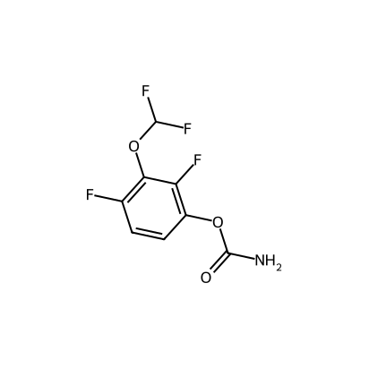 NC(=O)Oc1ccc(F)c(OC(F)F)c1F